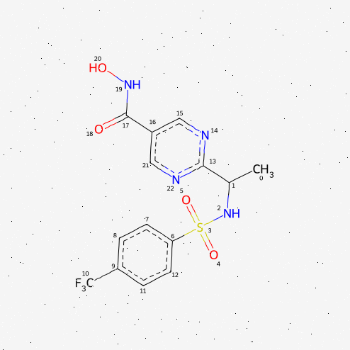 CC(NS(=O)(=O)c1ccc(C(F)(F)F)cc1)c1ncc(C(=O)NO)cn1